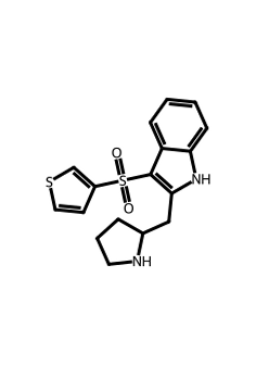 O=S(=O)(c1ccsc1)c1c(CC2CCCN2)[nH]c2ccccc12